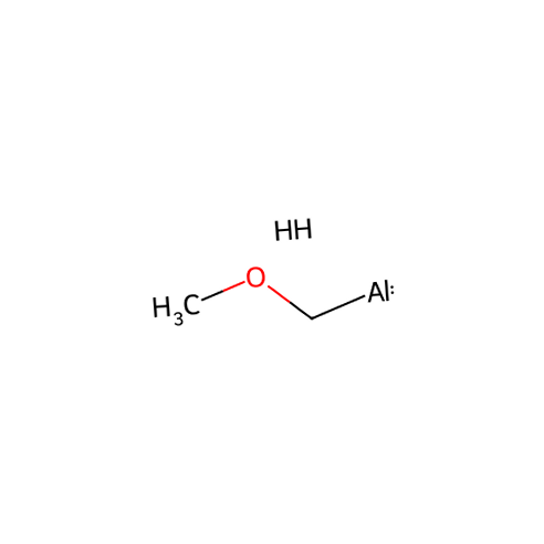 CO[CH2][Al].[HH]